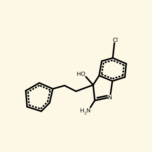 NC1=Nc2ccc(Cl)cc2C1(O)CCc1ccccc1